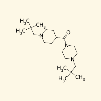 CC(C)(C)CN1CCC(C(=O)N2CCN(CC(C)(C)C)CC2)CC1